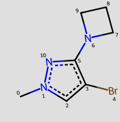 Cn1cc(Br)c(N2CCC2)n1